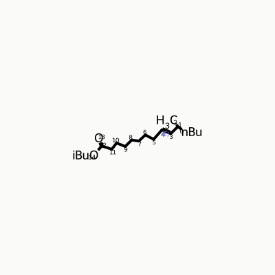 CCCCC(C)/C=C/CCCCCCCC(=O)OCC(C)C